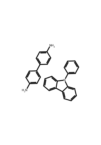 Nc1ccc(-c2ccc(N)cc2)cc1.c1ccc(-n2c3ccccc3c3ccccc32)cc1